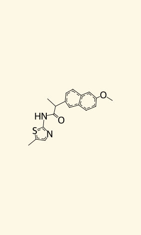 COc1ccc2cc(C(C)C(=O)Nc3ncc(C)s3)ccc2c1